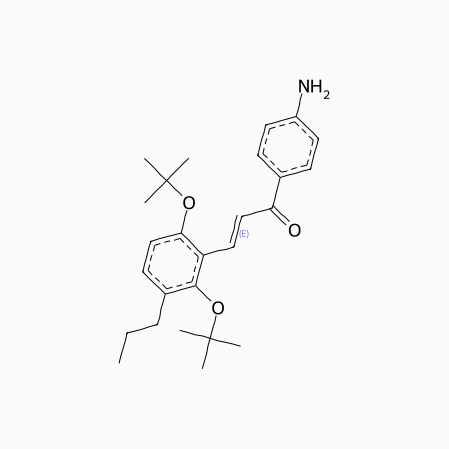 CCCc1ccc(OC(C)(C)C)c(/C=C/C(=O)c2ccc(N)cc2)c1OC(C)(C)C